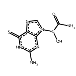 NC(=O)N(O)n1cnc2c(=S)[nH]c(N)nc21